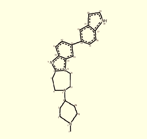 CN1CCC(N2CCc3nc4ccc(-c5ccc6[nH]ccc6c5)cc4n3CC2)CC1